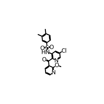 COc1ncccc1C(=O)c1ncc(Cl)cc1NS(=O)(=O)c1ccc(C)c(C)c1